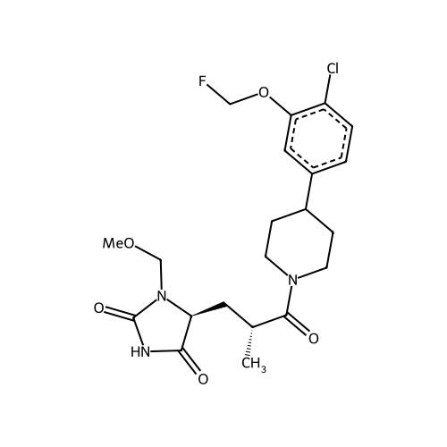 COCN1C(=O)NC(=O)[C@@H]1C[C@@H](C)C(=O)N1CCC(c2ccc(Cl)c(OCF)c2)CC1